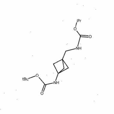 CC(C)OC(=O)NCC12CC(NC(=O)OC(C)(C)C)(C1)C2